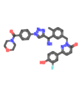 Cc1ccc(Cn2nc(-c3ccc(O)c(F)c3)ccc2=O)cc1C(=N)c1cn(-c2ccc(C(=O)N3CCOCC3)cc2)nn1